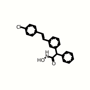 O=C(NO)C(c1ccccc1)c1cccc(C=Cc2ccc(Cl)cc2)c1